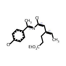 C/C=C(/C=C(Cl)\N=C(/C)c1ccc(Cl)cc1)CCC(=O)OCC